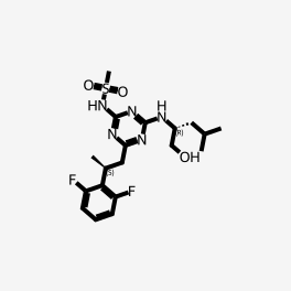 CC(C)C[C@H](CO)Nc1nc(C[C@H](C)c2c(F)cccc2F)nc(NS(C)(=O)=O)n1